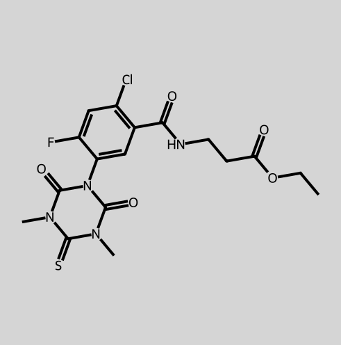 CCOC(=O)CCNC(=O)c1cc(-n2c(=O)n(C)c(=S)n(C)c2=O)c(F)cc1Cl